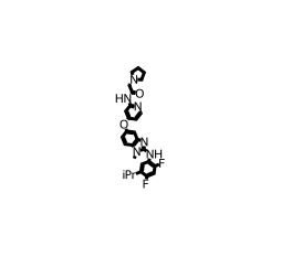 CC(C)c1cc(Nc2nc3cc(Oc4ccnc(NC(=O)CN5CCCC5)c4)ccc3n2C)c(F)cc1F